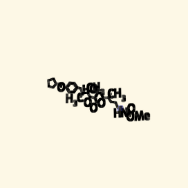 COC(=O)N/C=C/CCC(C)c1cc(O)c(C(=O)C(C)C(C)Cc2ccc(OCC3CCCC3)cc2)c(=O)o1